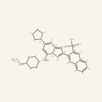 CO[C@H]1CC[C@H](Nc2cc(N3CCCC3)nc3cc(-c4nc5ccccc5nc4C(F)(F)F)nn23)CC1